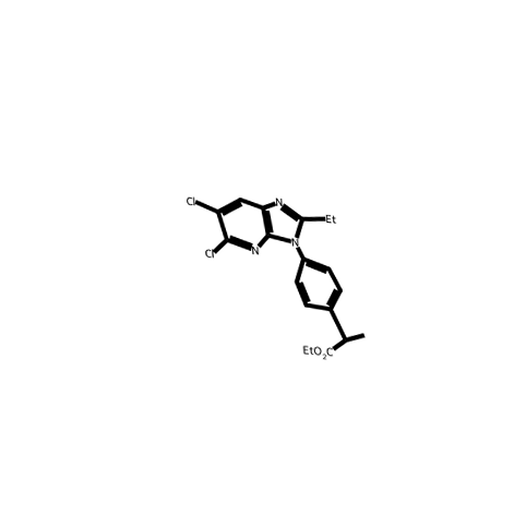 CCOC(=O)C(C)c1ccc(-n2c(CC)nc3cc(Cl)c(Cl)nc32)cc1